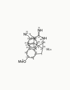 COc1ccc2c(c1)C[C@H]1C23C(=O)N(C)C(=N)N[C@@]13c1cccc(C#N)c1